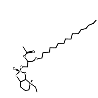 CCCCCCCCCCCCCCCCOCC(COP1(=O)OC2CCC[N+](C)(CC)C2O1)OC(C)=O